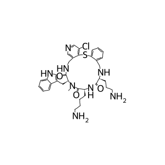 CN1C(=O)[C@H](CCCCN)NC(=O)[C@H](CCCN)NCc2ccccc2Sc2c(Cl)cncc2CNC(=O)[C@@H]1Cc1c[nH]c2ccccc12